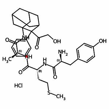 CSCC[C@@H](NC(=O)[C@@H](N)Cc1ccc(O)cc1)C(=O)N[C@@H](C)C(=O)NC12CC3CC(CC(C3)C1(C(=O)CO)c1ccccc1)C2.Cl